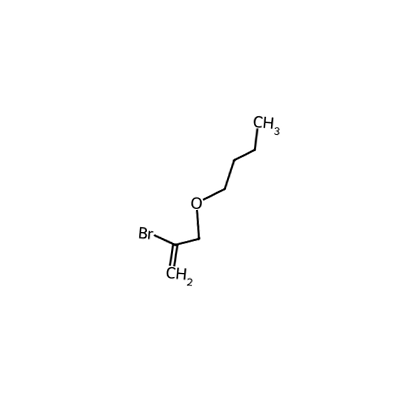 C=C(Br)COCCCC